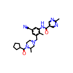 Cc1ncc(C(=O)Nc2cc(C#N)cc(CN3CCN(C(=O)C4CCCC4)C(C)C3)c2C)cn1